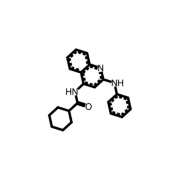 O=C(Nc1cc(Nc2ccccc2)nc2ccccc12)C1CCCCC1